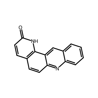 O=c1ccc2ccc3nc4ccccc4cc3c2[nH]1